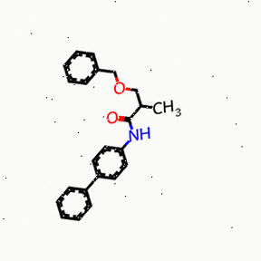 CC(COCc1ccccc1)C(=O)Nc1ccc(-c2ccccc2)cc1